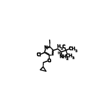 CC(C)(C)[C@@H](N)Cc1cc(OCC2CC2)c(Cl)nc1I